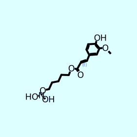 COc1cc(/C=C/C(=O)OCCCCCON(O)O)ccc1O